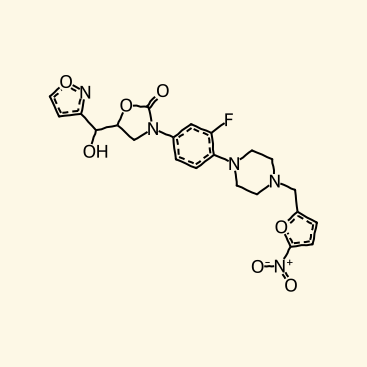 O=C1OC(C(O)c2ccon2)CN1c1ccc(N2CCN(Cc3ccc([N+](=O)[O-])o3)CC2)c(F)c1